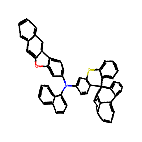 c1ccc2c(c1)Sc1cc(N(c3ccc4c(c3)oc3cc5ccccc5cc34)c3cccc4ccccc34)ccc1C21c2ccccc2-c2cccc3cccc1c23